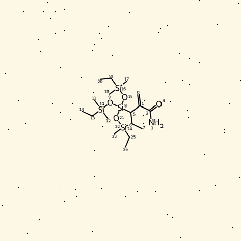 C=C(C(N)=O)C(CC)[Si](O[Si](C)(C)CC)(O[Si](C)(C)CC)O[Si](C)(C)CC